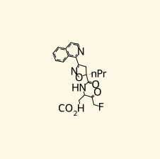 CCC[C@@]1(C(=O)NC(CC(=O)O)C(=O)CF)CC(c2nccc3ccccc23)=NO1